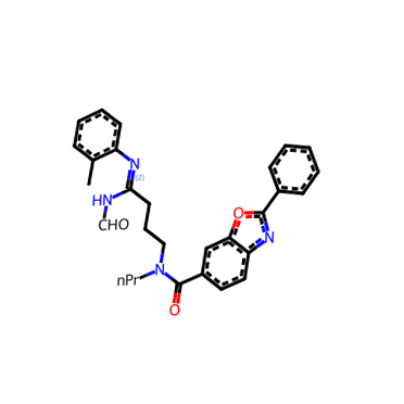 CCCN(CCC/C(=N/c1ccccc1C)NC=O)C(=O)c1ccc2nc(-c3ccccc3)oc2c1